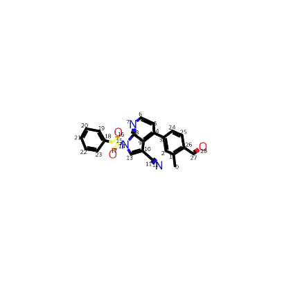 Cc1cc(-c2ccnc3c2c(C#N)cn3S(=O)(=O)c2ccccc2)ccc1C=O